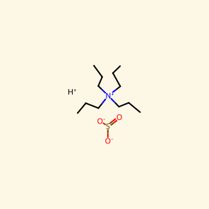 CCC[N+](CCC)(CCC)CCC.O=S([O-])[O-].[H+]